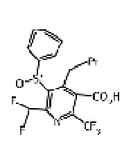 CC(C)Cc1c(C(=O)O)c(C(F)(F)F)nc(C(F)F)c1[S+]([O-])c1ccccc1